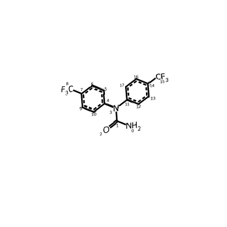 NC(=O)N(c1ccc(C(F)(F)F)cc1)c1ccc(C(F)(F)F)cc1